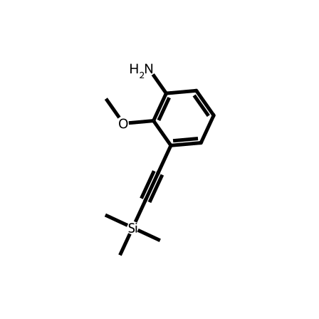 COc1c(N)cccc1C#C[Si](C)(C)C